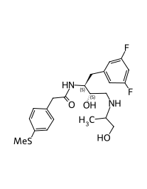 CSc1ccc(CC(=O)N[C@@H](Cc2cc(F)cc(F)c2)[C@@H](O)CNC(C)CO)cc1